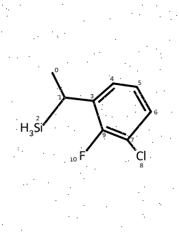 CC([SiH3])c1cccc(Cl)c1F